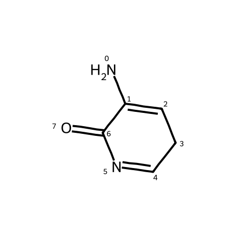 NC1=CCC=NC1=O